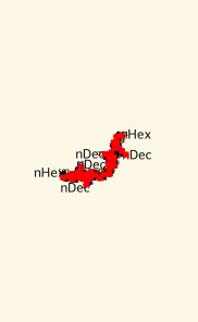 CCCCCCCCCCCCn1c2cc(-c3ccc(CCCCCC)s3)ccc2c2cc3c(cc21)c1ccc(-c2ccc(-c4ccc(-c5ccc6c7cc8c(cc7n(CCCCCCCCCCCC)c6c5)c5ccc(-c6ccc(CCCCCC)s6)cc5n8CCCCCCCCCCCC)s4)s2)cc1n3CCCCCCCCCCCC